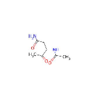 CC(=O)NC(CC(N)=O)C(C)=O